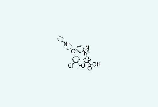 C[C@@H](Oc1cc(-n2cnc3ccc(OC4CCN(C5CCCC5)CC4)cc32)sc1C(=O)O)c1ccccc1Cl